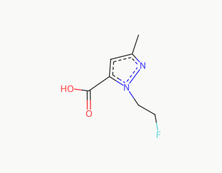 Cc1cc(C(=O)O)n(CCF)n1